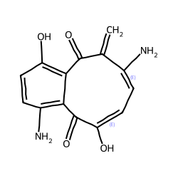 C=C1C(=O)c2c(O)ccc(N)c2C(=O)/C(O)=C\C=C/1N